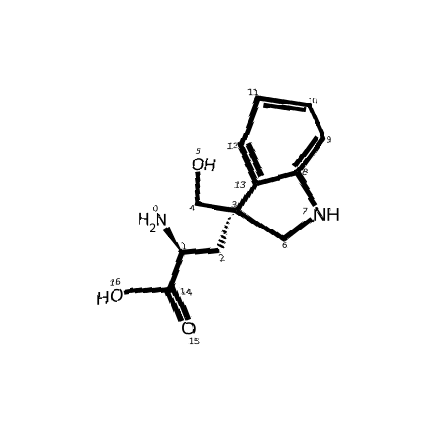 N[C@@H](C[C@@]1(CO)CNc2ccccc21)C(=O)O